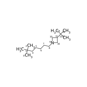 CC(C)(C)CCCCCN1CC(C(C)(C)C)C1